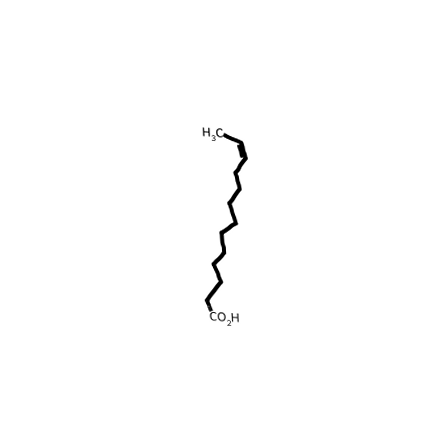 C/C=C\CCCCCCCCCC(=O)O